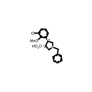 COc1c(Cl)cccc1[C@H]1CN(Cc2ccccc2)C[C@@H]1C(=O)O